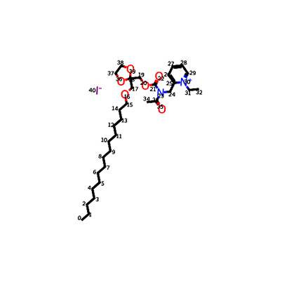 CCCCCCCCCCCCCCCCOCC1(COC(=O)N(Cc2cccc[n+]2CC)C(C)=O)OCCO1.[I-]